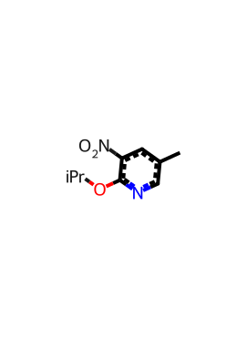 Cc1cnc(OC(C)C)c([N+](=O)[O-])c1